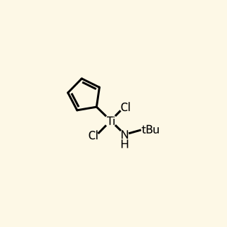 CC(C)(C)[NH][Ti]([Cl])([Cl])[CH]1C=CC=C1